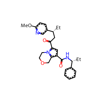 CC[C@H](CC(=O)c1cc(C(=O)N[C@H](CC)c2ccccc2)c2n1CCOC2)c1ccc(OC)nc1